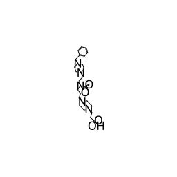 O=C(O)CCN1CCN(CC2CN(CCN3CCN(Cc4ccccc4)CC3)C(=O)O2)CC1